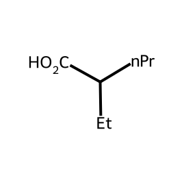 [CH]CC(CCC)C(=O)O